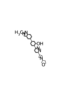 Cn1cc2cc(-c3ccc(-c4ccc(C5CN(C6CCOC6)C5)nn4)c(O)c3)ccc2n1